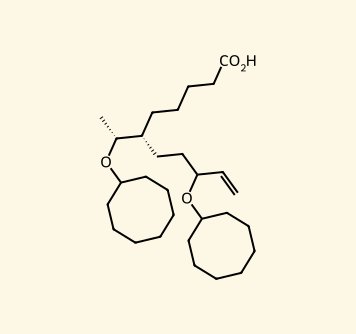 C=CC(CC[C@@H](CCCCC(=O)O)[C@@H](C)OC1CCCCCCC1)OC1CCCCCCC1